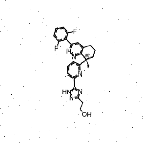 C[C@]1(c2cccc(-c3nc(CCO)n[nH]3)n2)CCCc2cc(-c3c(F)cccc3F)nnc21